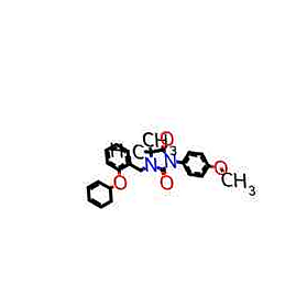 COc1ccc(N2C(=O)N(Cc3ccccc3OC3C=CC=CC3)C(C)(C)C2=O)cc1